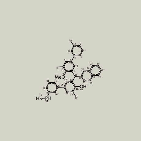 COc1c(C)cc(-c2cccc(C)c2)cc1C(c1ccc2ccccc2c1)c1cc(-c2cccc(PS)c2)cc(C)c1O